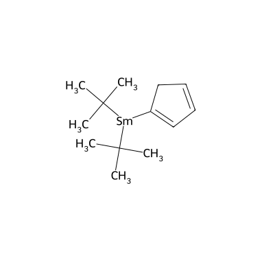 C[C](C)(C)[Sm]([C]1=CC=CC1)[C](C)(C)C